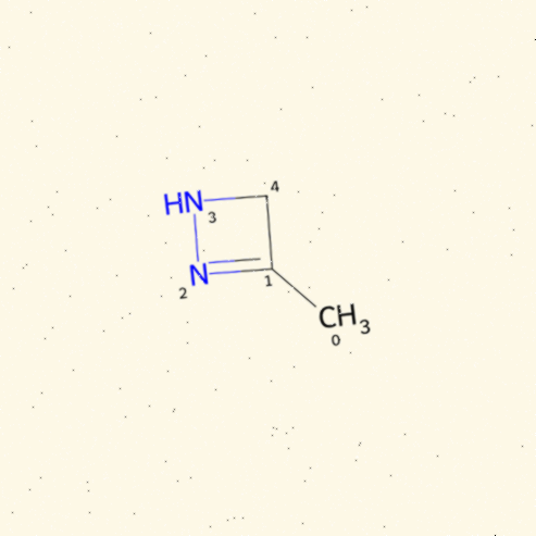 CC1=NNC1